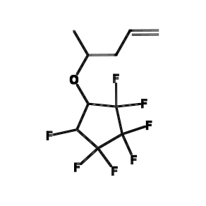 C=CCC(C)OC1C(F)C(F)(F)C(F)(F)C1(F)F